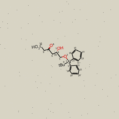 CC(C)(C)[Si](OC[C@@H](O)CC(=O)CC(=O)O)(c1ccccc1)c1ccccc1